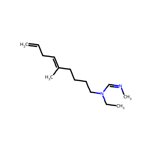 C=CC/C=C(\C)CCCCN(/C=N\C)CC